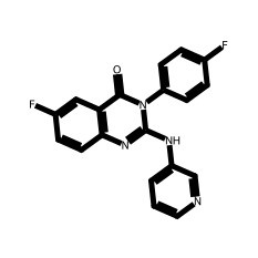 O=c1c2cc(F)ccc2nc(Nc2cccnc2)n1-c1ccc(F)cc1